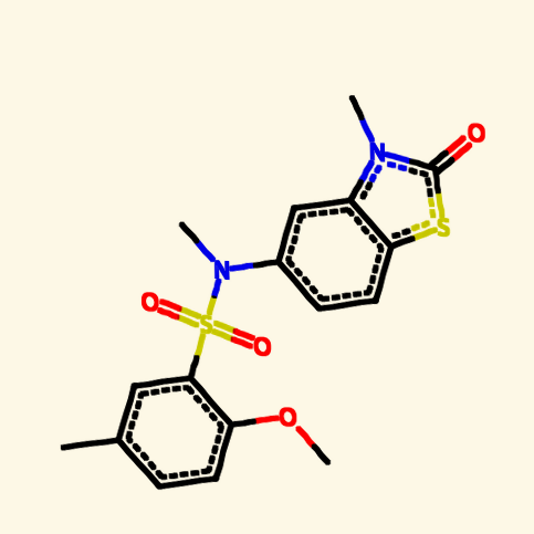 COc1ccc(C)cc1S(=O)(=O)N(C)c1ccc2sc(=O)n(C)c2c1